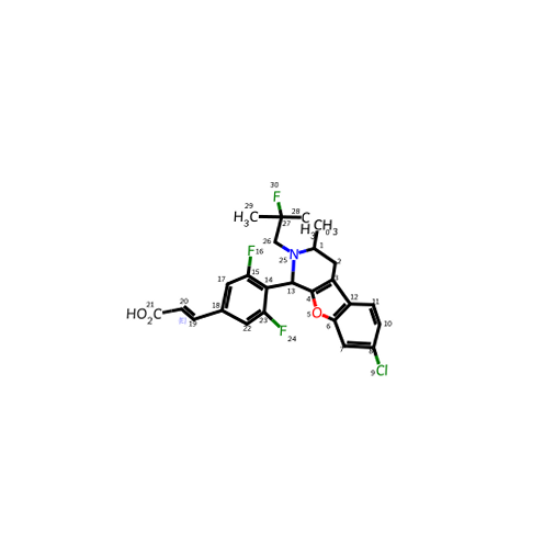 CC1Cc2c(oc3cc(Cl)ccc23)C(c2c(F)cc(/C=C/C(=O)O)cc2F)N1CC(C)(C)F